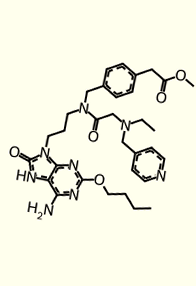 CCCCOc1nc(N)c2[nH]c(=O)n(CCCN(Cc3ccc(CC(=O)OC)cc3)C(=O)CN(CC)Cc3ccncc3)c2n1